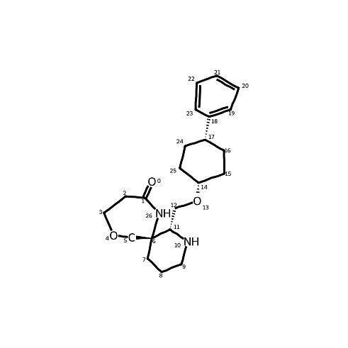 O=C1CCOC[C@@]2(CCCN[C@H]2CO[C@H]2CC[C@@H](c3ccccc3)CC2)N1